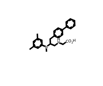 Cc1cc(C)cc(N(C)C(CNCC(=O)O)Cc2ccc(-c3ccccc3)cc2)c1